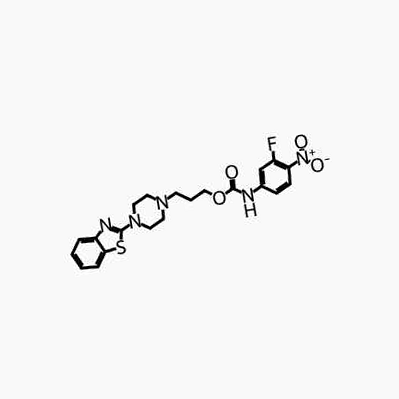 O=C(Nc1ccc([N+](=O)[O-])c(F)c1)OCCCN1CCN(c2nc3ccccc3s2)CC1